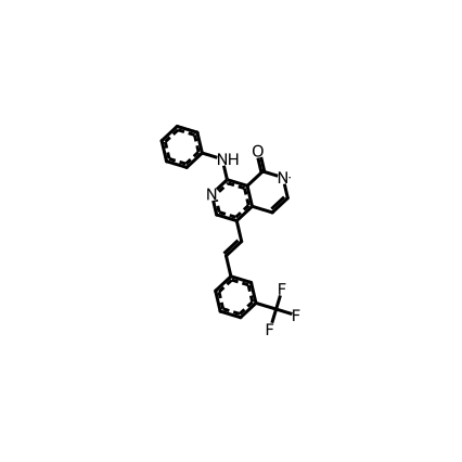 O=C1[N]C=Cc2c(/C=C/c3cccc(C(F)(F)F)c3)cnc(Nc3ccccc3)c21